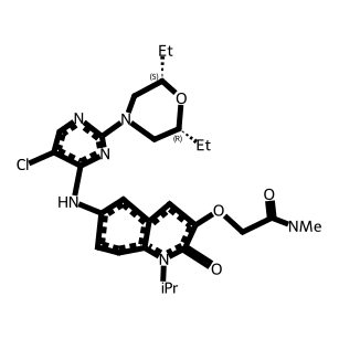 CC[C@@H]1CN(c2ncc(Cl)c(Nc3ccc4c(c3)cc(OCC(=O)NC)c(=O)n4C(C)C)n2)C[C@H](CC)O1